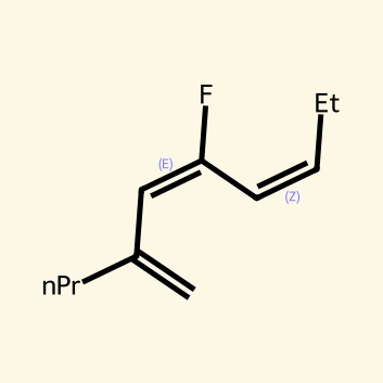 C=C(/C=C(F)\C=C/CC)CCC